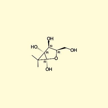 CC1(C)[C@]2(O)O[C@H](CO)[C@H](O)[C@]12O